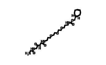 NCC(=O)NCC(=O)NCC(=O)NCCCOCCOCCOCCCNC(=O)OC[C@@H]1[C@@H]2CC/C=C\CC[C@@H]21